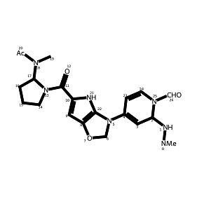 CNNC1C=C(N2COc3cc(C(=O)N4CCCC4N(C)C(C)=O)[nH]c32)C=CN1C=O